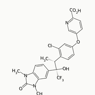 C[C@H](c1ccc(Oc2ccc(C(=O)O)nc2)cc1Cl)[C@@](O)(c1ccc2c(c1)n(C)c(=O)n2C)C(F)(F)F